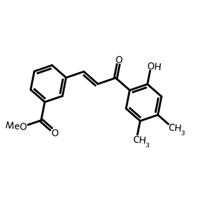 COC(=O)c1cccc(/C=C/C(=O)c2cc(C)c(C)cc2O)c1